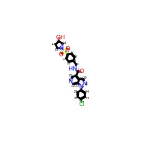 O=C(NCc1ccc(S(=O)(=O)N2CCC(O)C2)cc1)c1cncc2c1cnn2-c1ccc(Cl)cc1